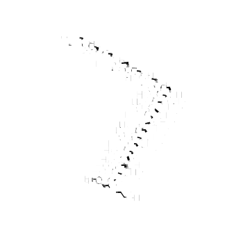 C=CC(=O)O.C=CC(=O)O.C=CC(=O)O.C=CC(=O)O.C=CC(=O)O.C=CC(=O)O.C=CC(=O)O.C=CC(=O)O.C=CC(=O)O.C=CC(=O)O.C=CC(=O)O.C=CC(=O)O.C=CC(=O)O.C=CC(=O)O.C=CC(=O)O.C=CC(=O)O.C=CC(=O)O.C=CC(=O)O.C=CC(=O)O.C=CC(=O)O.CCOCCOCCO